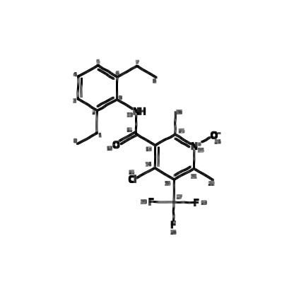 CCc1cccc(CC)c1NC(=O)c1c(Cl)c(C(F)(F)F)c(C)[n+]([O-])c1C